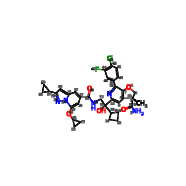 C[C@]1(C(N)=O)COc2c1cc(C(O)(CNC(=O)c1cc(OC3CC3)n3nc(C4CC4)cc3c1)C1CCC1)nc2-c1ccc(Cl)c(F)c1